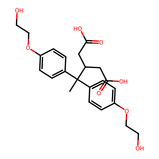 CC(c1ccc(OCCO)cc1)(c1ccc(OCCO)cc1)C(CC(=O)O)CC(=O)O